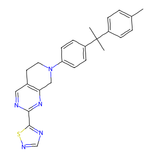 Cc1ccc(C(C)(C)c2ccc(N3CCc4cnc(-c5ncns5)nc4C3)cc2)cc1